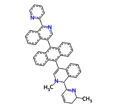 CC1CC=CC(C2c3ccccc3C(c3c4ccccc4c(-c4cnc(-c5ccccn5)c5ccccc45)c4ccccc34)=CN2C)=N1